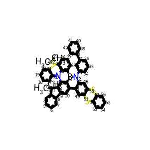 CC1(C)c2ccccc2-c2cc3c4c(c21)N1c2ccccc2S(C)(C)c2cccc(c21)B4N(c1cccc(-c2ccccc2)c1)c1cc2c(cc1-3)Sc1ccccc1S2